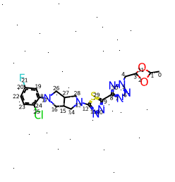 CC1OC(Cn2nnc(-c3nnc(N4CC5CN(c6cc(F)ccc6Cl)CC5C4)s3)n2)O1